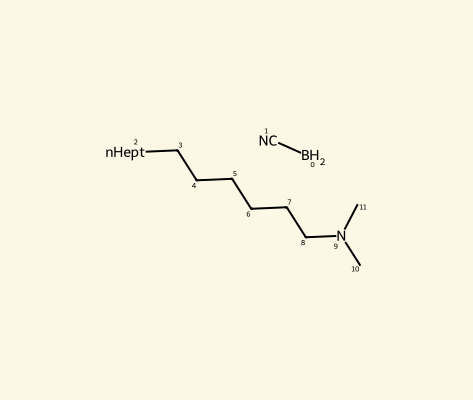 BC#N.CCCCCCCCCCCCCN(C)C